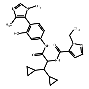 CCn1nccc1C(=O)NC(C(=O)Nc1ccc(-c2c(C)ncn2C)c(O)c1)C(C1CC1)C1CC1